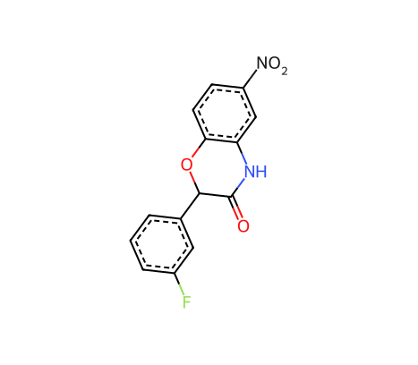 O=C1Nc2cc([N+](=O)[O-])ccc2OC1c1cccc(F)c1